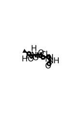 O=C(CN1Cc2ccc(-c3nc(NC4CCOCC4)ncc3Cl)cc2C1=O)NC(CO)c1ccc(C2CC2)cn1